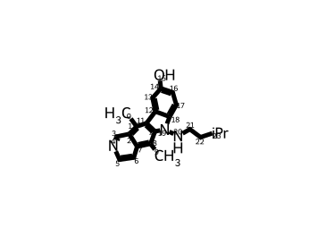 Cc1c2cnccc2c(C)c2c1c1cc(O)ccc1n2NCCC(C)C